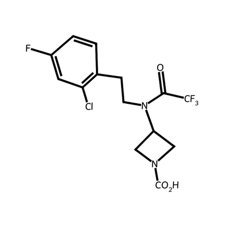 O=C(O)N1CC(N(CCc2ccc(F)cc2Cl)C(=O)C(F)(F)F)C1